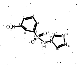 O=[N+]([O-])c1cccc(S(=O)(=O)Nn2cnnc2)c1